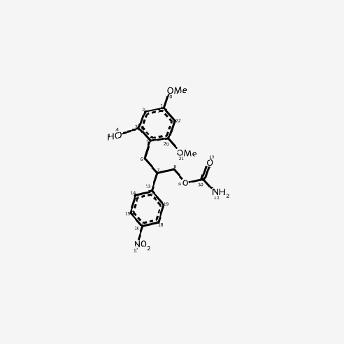 COc1cc(O)c(CC(COC(N)=O)c2ccc([N+](=O)[O-])cc2)c(OC)c1